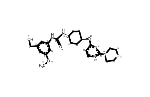 O=C(Nc1cc(CO)cc(OC(F)(F)F)c1)N[C@H]1CC[C@H](Oc2ccnc(N3CCOCC3)n2)CC1